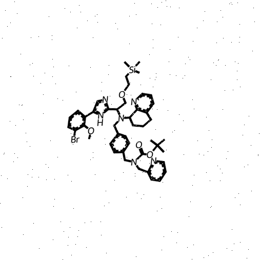 COc1c(Br)cccc1-c1cnc(C(COCC[Si](C)(C)C)N(Cc2ccc(CN(Cc3ccccn3)C(=O)OC(C)(C)C)cc2)C2CCCc3cccnc32)[nH]1